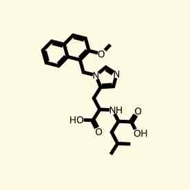 COc1ccc2ccccc2c1Cn1cncc1CC(NC(CC(C)C)C(=O)O)C(=O)O